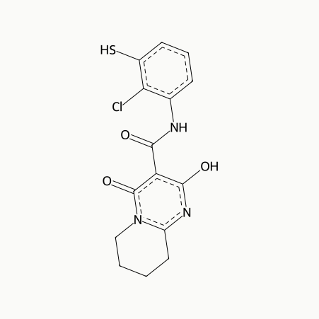 O=C(Nc1cccc(S)c1Cl)c1c(O)nc2n(c1=O)CCCC2